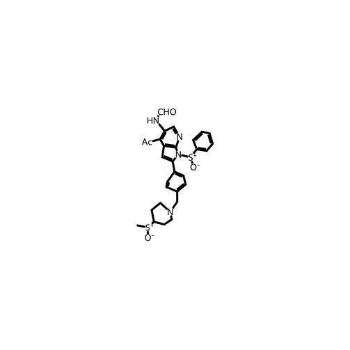 CC(=O)c1c(NC=O)cnc2c1cc(-c1ccc(CN3CCC([S+](C)[O-])CC3)cc1)n2[S+]([O-])c1ccccc1